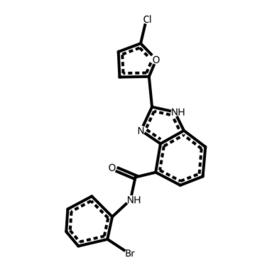 O=C(Nc1ccccc1Br)c1cccc2[nH]c(-c3ccc(Cl)o3)nc12